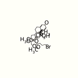 COC1(CCCBr)OCC(=O)[C@@]2(O1)[C@@H](C)CC1C3CCC4=CC(=O)C=C[C@]4(C)[C@@]3(F)[C@@H](O)C[C@@]12C